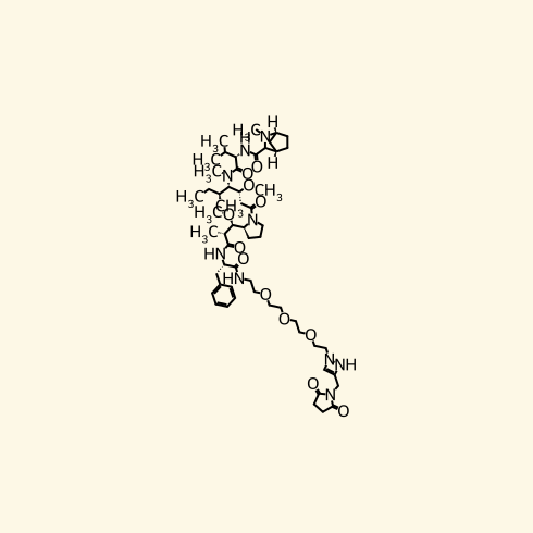 CC[C@H](C)[C@@H]([C@@H](CC(=O)N1CCC[C@H]1[C@H](OC)[C@@H](C)C(=O)N[C@@H](Cc1ccccc1)C(=O)NCCOCCOCCOCCn1cc(CN2C(=O)CCC2=O)[nH]1)OC)N(C)C(=O)[C@@H](NC(=O)C1[C@H]2CC[C@H](C2)N1C)C(C)C